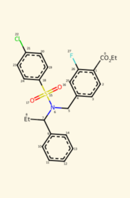 CCOC(=O)c1ccc(CN(C(CC)c2ccccc2)S(=O)(=O)c2ccc(Cl)cc2)cc1F